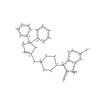 O=c1[nH]c2cc(F)ccc2n1C1CCN(CC2=NOC(c3ccccc3)(c3ccccc3)C2)CC1